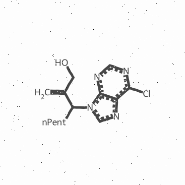 C=C(CO)C(CCCCC)n1cnc2c(Cl)ncnc21